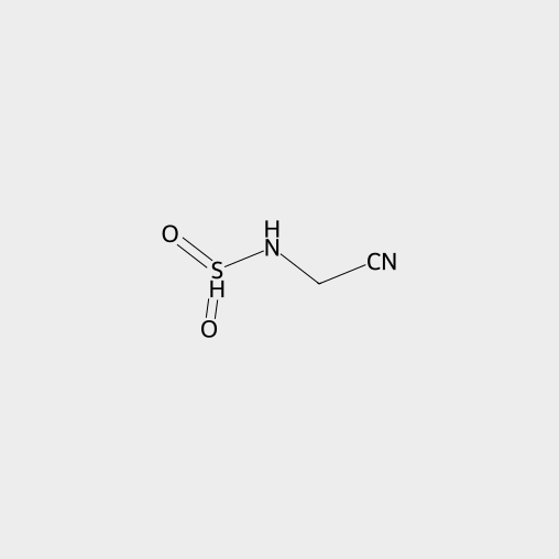 N#CCN[SH](=O)=O